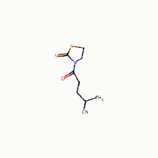 CC(C#N)CCC(=O)N1CCSC1=S